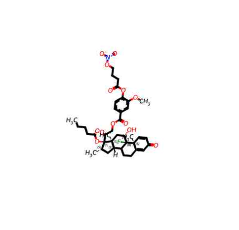 CCCCC(=O)O[C@]1(C(=O)COC(=O)c2ccc(OC(=O)CCCO[N+](=O)[O-])c(OC)c2)[C@@H](C)C[C@H]2C3CCC4=CC(=O)C=C[C@]4(C)[C@@]3(F)[C@@H](O)C[C@@]21C